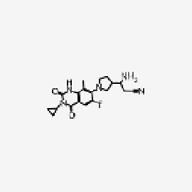 Cc1c(N2CCC(C(N)CC#N)C2)c(F)cc2c(=O)n(C3CC3)c(=O)[nH]c12